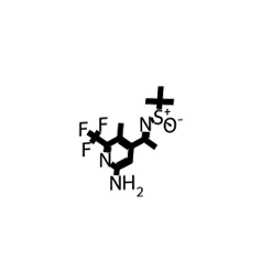 CC(=N[S@@+]([O-])C(C)(C)C)c1cc(N)nc(C(F)(F)F)c1C